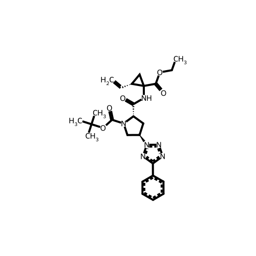 C=C[C@@H]1CC1(NC(=O)[C@@H]1C[C@@H](n2nnc(-c3ccccc3)n2)CN1C(=O)OC(C)(C)C)C(=O)OCC